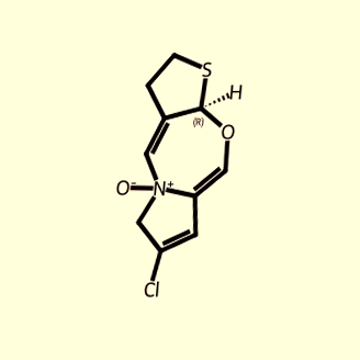 [O-][N+]12C=C3CCS[C@H]3OC=C1C=C(Cl)C2